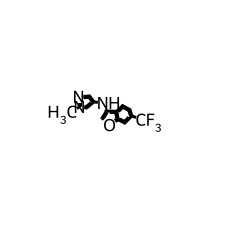 Cn1cc(Nc2coc3cc(C(F)(F)F)ccc23)cn1